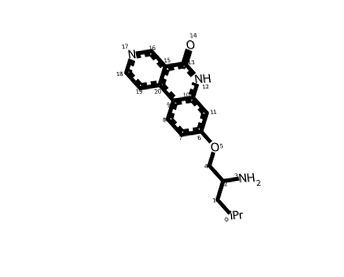 CC(C)CC(N)COc1ccc2c(c1)[nH]c(=O)c1cnccc12